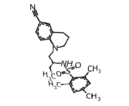 CC[C@@H](CN1CCCc2cc(C#N)ccc21)NS(=O)(=O)c1c(C)cc(C)cc1C